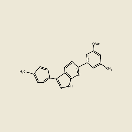 COc1cc(C)cc(-c2ccc3c(-c4ccc(C)cc4)n[nH]c3n2)c1